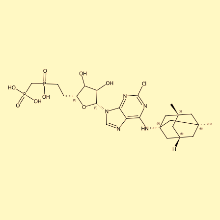 C[C@]12C[C@@H]3C[C@](C)(C1)C[C@@](Nc1nc(Cl)nc4c1ncn4[C@@H]1O[C@H](CCP(=O)(O)CP(=O)(O)O)C(O)C1O)(C3)C2